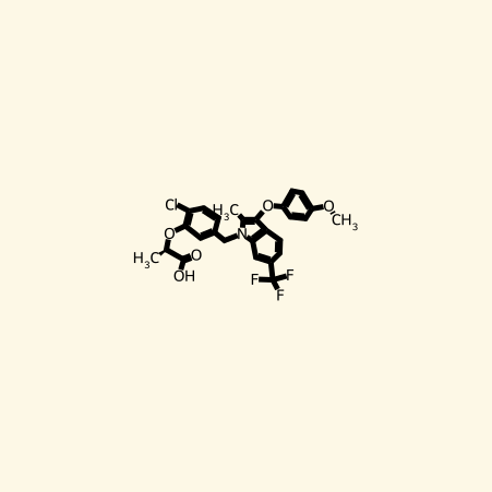 COc1ccc(Oc2c(C)n(Cc3ccc(Cl)c(O[C@H](C)C(=O)O)c3)c3cc(C(F)(F)F)ccc23)cc1